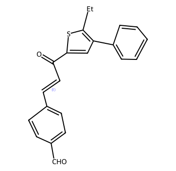 CCc1sc(C(=O)/C=C/c2ccc(C=O)cc2)cc1-c1ccccc1